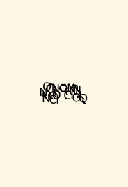 CCOC(=O)CN1CCN(c2ccc(N3CCOc4ncnc(Cl)c4C3=O)cc2Cl)O1